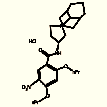 CCCOc1cc(OCCC)c([N+](=O)[O-])cc1C(=O)N[C@H]1CCN(C2C3CCCC2CCC3)C1.Cl